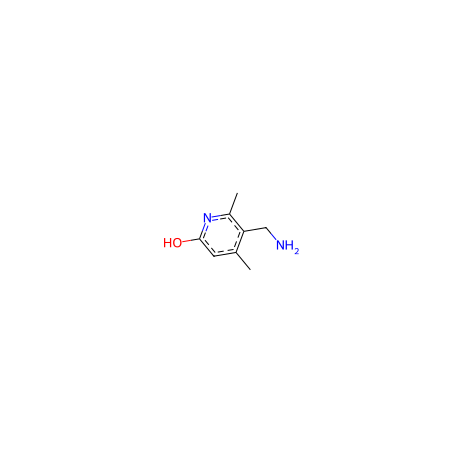 Cc1cc(O)nc(C)c1CN